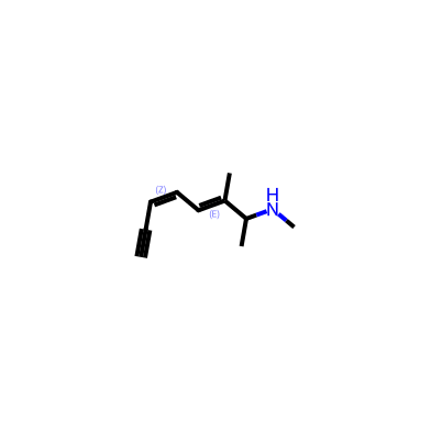 C#C/C=C\C=C(/C)C(C)NC